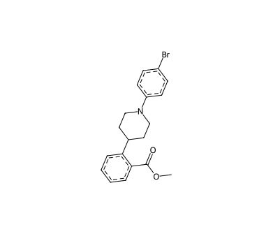 COC(=O)c1ccccc1C1CCN(c2ccc(Br)cc2)CC1